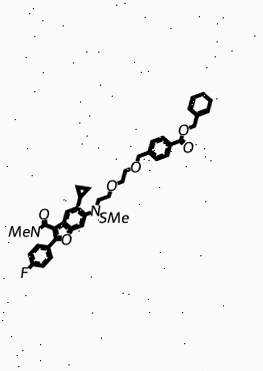 CNC(=O)c1c(-c2ccc(F)cc2)oc2cc(N(CCOCCOCc3ccc(C(=O)OCC4=CCCC=C4)cc3)SC)c(C3CC3)cc12